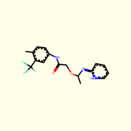 Cc1ccc(NC(=O)COC(C)/N=c2/cccc[nH]2)cc1C(F)(F)F